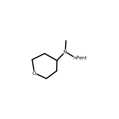 CCCCCN(C)C1CCOCC1